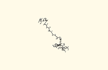 C=CCCCCCCCCCOC(=O)C[Si](C)(C)C